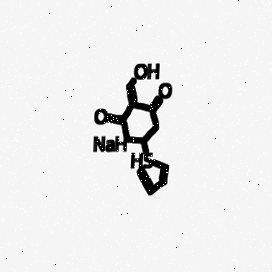 O=C1CC([SH]2C=CC=C2)CC(=O)C1=CO.[NaH]